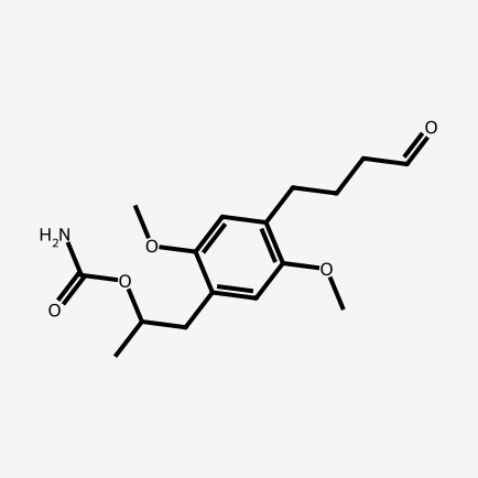 COc1cc(CC(C)OC(N)=O)c(OC)cc1CCCC=O